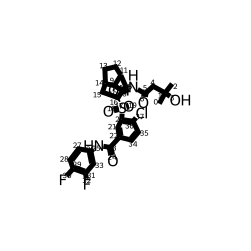 CC(C)(O)CC(=O)NC[C@]1(O)C2CCC1C[C@@H](S(=O)(=O)c1cc(C(=O)Nc3ccc(F)c(F)c3)ccc1Cl)C2